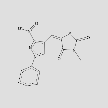 CN1C(=O)SC(=Cc2cn(-c3ccccc3)nc2[N+](=O)[O-])C1=O